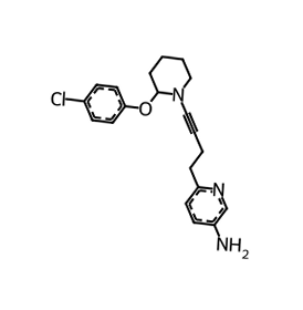 Nc1ccc(CCC#CN2CCCCC2Oc2ccc(Cl)cc2)nc1